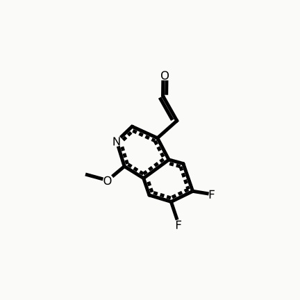 COc1ncc(C=C=O)c2cc(F)c(F)cc12